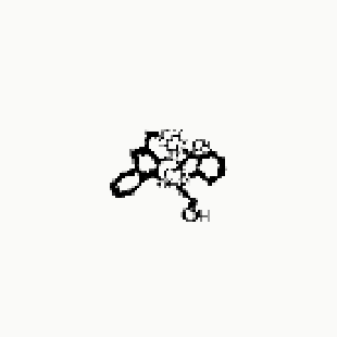 CCc1cc2ccccc2c(N)c1OC1(C)N(CCO)c2ccccc2C1(C)C